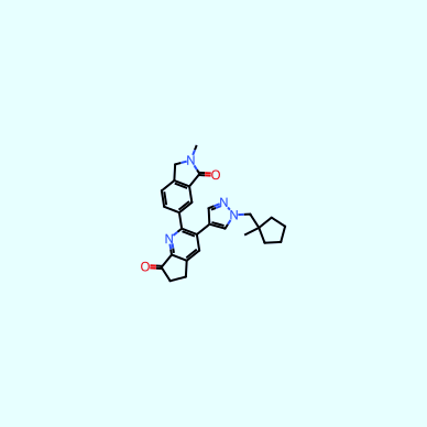 CN1Cc2ccc(-c3nc4c(cc3-c3cnn(CC5(C)CCCC5)c3)CCC4=O)cc2C1=O